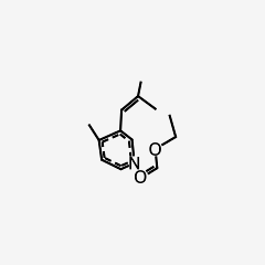 CC(C)=Cc1cnccc1C.CCOC=O